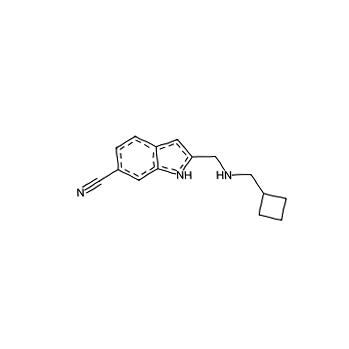 N#Cc1ccc2cc(CNCC3CCC3)[nH]c2c1